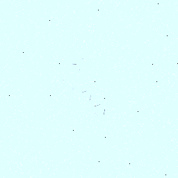 O=C(/C=C/c1ccc(O)c(O)c1)OC1C[C@@](O)(C(=O)O)CC(O)C1O